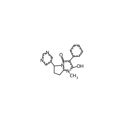 C[n+]1c(O)c(-c2ccccc2)c(=O)n2c1CCC2c1cncnc1